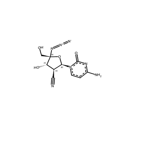 N#C[C@@H]1[C@H](n2ccc(N)nc2=O)O[C@@](CO)(N=[N+]=[N-])[C@H]1O